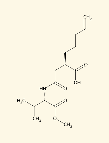 C=CCCC[C@H](CC(=O)N[C@H](C(=O)OC)C(C)C)C(=O)O